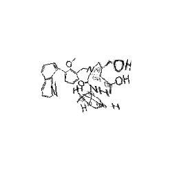 COc1c(CN2C[C@@H](CO)[C@H]([C@H](C)O)C2C(=O)N[C@H]2C[C@H]3C[C@@H]([C@@H]2C)C3(C)C)cccc1-c1cccc2cccnc12